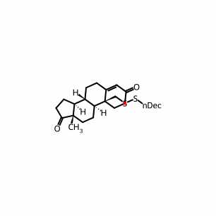 CCCCCCCCCCSSC[C@]12CCC(=O)C=C1CC[C@@H]1[C@@H]2CC[C@]2(C)C(=O)CC[C@@H]12